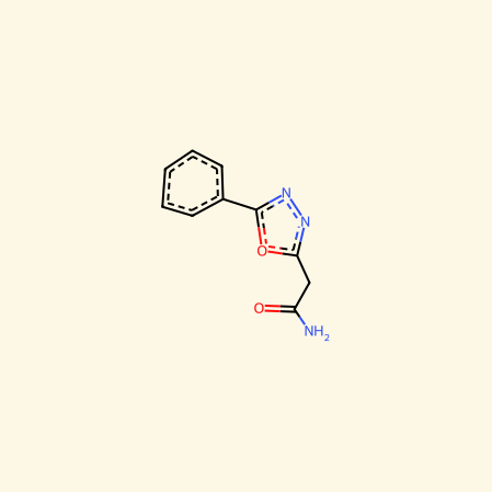 NC(=O)Cc1nnc(-c2ccccc2)o1